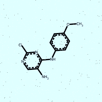 COc1ccc(Nc2nc(Cl)ncc2N)cc1